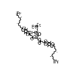 CCN(CC)CCCNC(=O)OCC(COC(=O)CCC(=O)Oc1c(C)c(C)c2c(c1C)CC[C@@](C)(CCC[C@H](C)CCC[C@H](C)CCCC(C)C)O2)COC(=O)CCC(=O)Oc1c(C)c(C)c2c(c1C)CC[C@@](C)(CCC[C@H](C)CCC[C@H](C)CCCC(C)C)O2